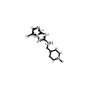 CN1CCC(CNc2nn3c(I)cnc3s2)CC1